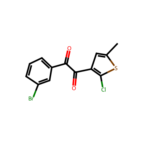 Cc1cc(C(=O)C(=O)c2cccc(Br)c2)c(Cl)s1